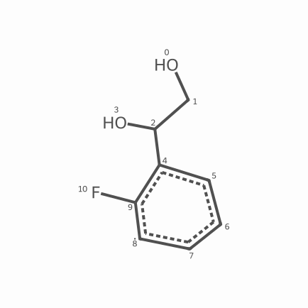 OCC(O)c1ccc[c]c1F